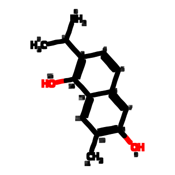 BC(C)c1ccc2cc(O)c(C)cc2c1O